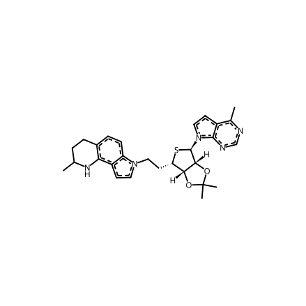 Cc1ncnc2c1ccn2[C@@H]1S[C@@H](CCn2ccc3c4c(ccc32)CCC(C)N4)[C@H]2OC(C)(C)O[C@H]21